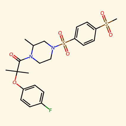 CC1CN(S(=O)(=O)c2ccc(S(C)(=O)=O)cc2)CCN1C(=O)C(C)(C)Oc1ccc(F)cc1